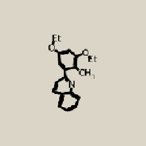 CCOc1cc(OCC)c(C)c(-c2ccc3ccccc3n2)c1